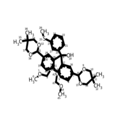 COCOc1ccc(C2OCC(C)(C)CO2)cc1C(O)(c1cccc(SC)c1)c1cc(C2OCC(C)(C)CO2)ccc1OCOC